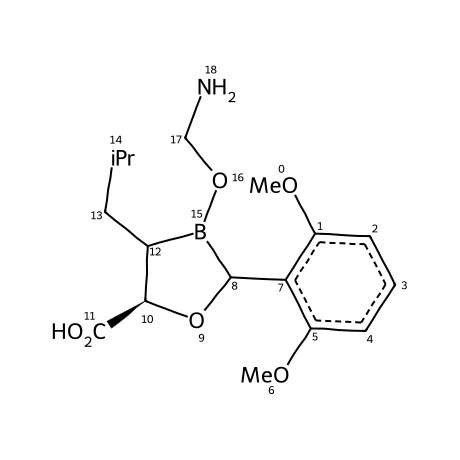 COc1cccc(OC)c1C1O[C@@H](C(=O)O)C(CC(C)C)B1OCN